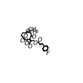 C[C@@H]1C[C@H](O)C2=C(COC(=O)/C=C/c3ccc(F)cc3)C(=O)O/C2=C/C2(C)CCC1(O)O2